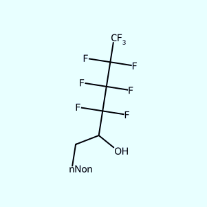 CCCCCCCCCCC(O)C(F)(F)C(F)(F)C(F)(F)C(F)(F)F